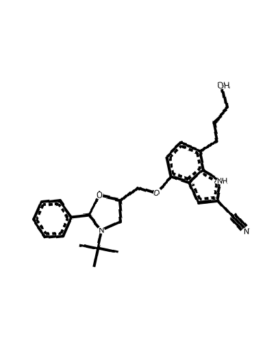 CC(C)(C)N1CC(COc2ccc(CCCO)c3[nH]c(C#N)cc23)OC1c1ccccc1